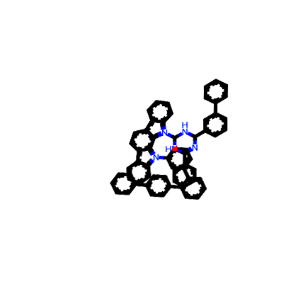 c1ccc(C2=NC(c3cccc(-c4ccccc4)c3)NC(n3c4ccccc4c4ccc5c6ccccc6n(-c6cccc(-c7ccccc7-c7ccc(-c8ccccc8)cc7)c6)c5c43)N2)cc1